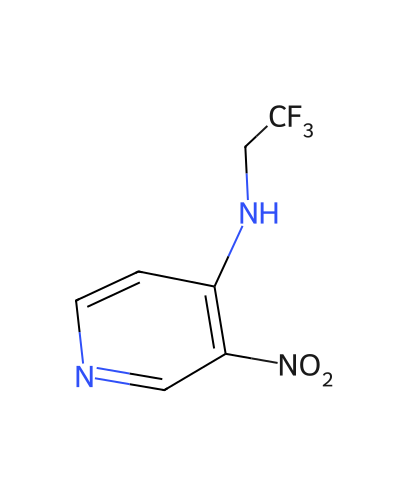 O=[N+]([O-])c1cnccc1NCC(F)(F)F